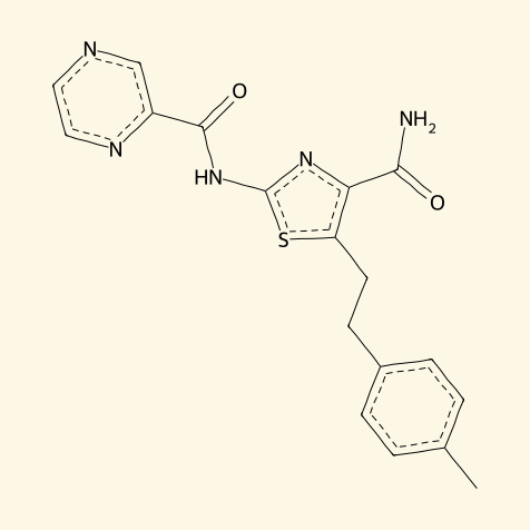 Cc1ccc(CCc2sc(NC(=O)c3cnccn3)nc2C(N)=O)cc1